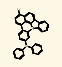 Brc1ccc2c3ccc(N(c4ccccc4)c4ccccc4)cc3n3c4ccccc4c4ccc1c2c43